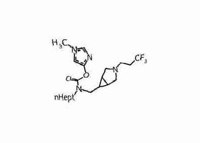 CCCCCCCN(CC1C2CN(CCC(F)(F)F)CC21)C(=O)Oc1cn(C)cn1